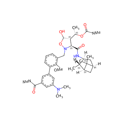 CNC(=O)O[C@@H](C)[C@H]1C(O)ON(Cc2cccc(-c3cc(C(=O)NC)cc(N(C)C)c3)c2OC)[C@@H]1C(=O)N[C@H]1C[C@H]2C[C@@H]([C@@H]1C)C2(C)C